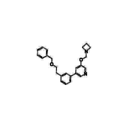 c1ccc(COCCc2cccc(-c3cncc(OCN4CCC4)c3)c2)cc1